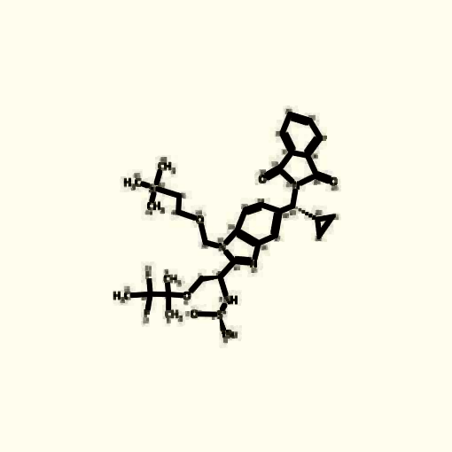 CC(C)(C)[S@@+]([O-])N[C@@H](COC(C)(C)C(C)(F)F)c1nc2cc([C@@H](C3CC3)N3C(=O)c4ccccc4C3=O)ccc2n1COCC[Si](C)(C)C